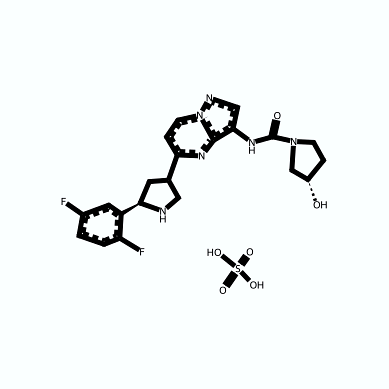 O=C(Nc1cnn2ccc(C3CN[C@@H](c4cc(F)ccc4F)C3)nc12)N1CC[C@H](O)C1.O=S(=O)(O)O